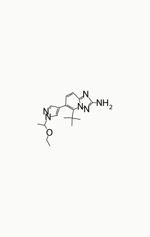 CCOC(C)n1cc(-c2ccc3nc(N)nn3c2C(C)(C)C)cn1